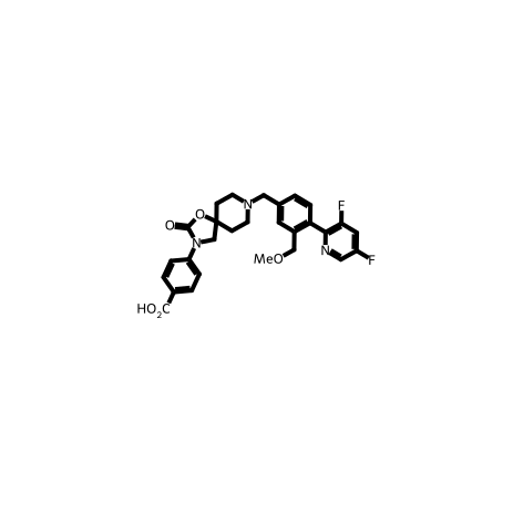 COCc1cc(CN2CCC3(CC2)CN(c2ccc(C(=O)O)cc2)C(=O)O3)ccc1-c1ncc(F)cc1F